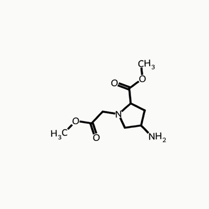 COC(=O)CN1CC(N)CC1C(=O)OC